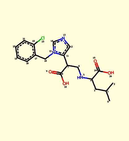 CC(C)CC(NCC(C(=O)O)c1cncn1Cc1ccccc1Cl)C(=O)O